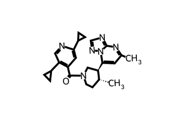 Cc1cc([C@@H]2CN(C(=O)c3cc(C4CC4)ncc3C3CC3)CC[C@H]2C)n2ncnc2n1